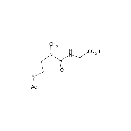 CC(=O)SCCN(C)C(=O)NCC(=O)O